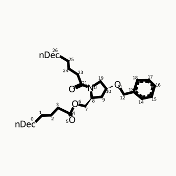 CCCCCCCCCCCCCC(=O)OC[C@@H]1C[C@@H](OCc2ccccc2)CN1C(=O)CCCCCCCCCCCCC